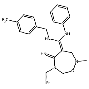 CC(C)CN1CON(C)C/C(=C(/NCc2ccc(C(F)(F)F)cc2)Nc2ccccc2)C1=N